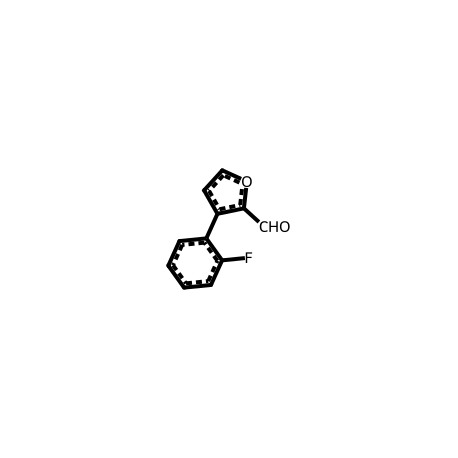 O=Cc1occc1-c1ccccc1F